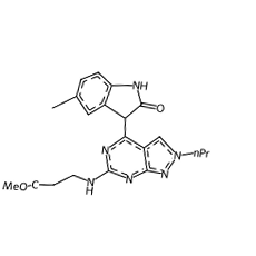 CCCn1cc2c(C3C(=O)Nc4ccc(C)cc43)nc(NCCCOC)nc2n1